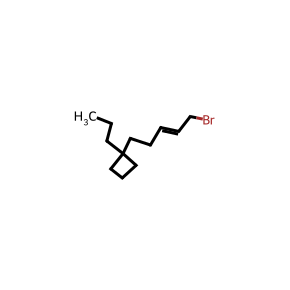 CCCC1(CC/C=C/CBr)CCC1